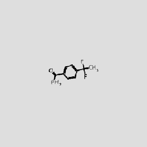 CC(F)(F)c1ccc(C(=O)P)cc1